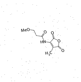 COCCC(=O)NC1=C(C)C(=O)OC1=O